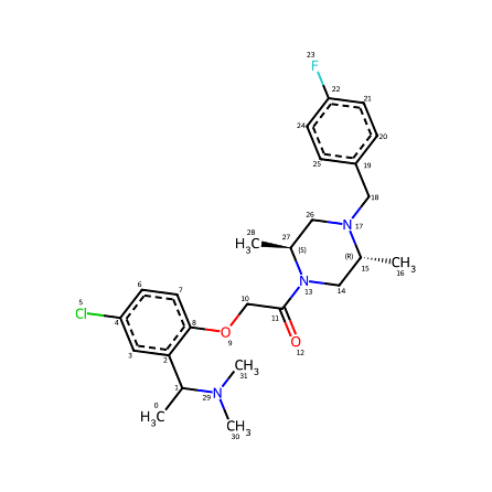 CC(c1cc(Cl)ccc1OCC(=O)N1C[C@@H](C)N(Cc2ccc(F)cc2)C[C@@H]1C)N(C)C